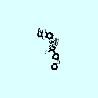 CN1CCC(Oc2cc(NS(=O)(=O)c3cc(-c4ccc(Oc5ccccc5)cc4)c(Cl)s3)ccc2Cl)C1